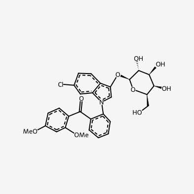 COc1ccc(C(=O)c2ccccc2-n2cc(O[C@@H]3O[C@H](CO)[C@H](O)[C@H](O)[C@H]3O)c3ccc(Cl)cc32)c(OC)c1